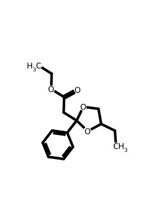 CCOC(=O)CC1(c2ccccc2)OCC(CC)O1